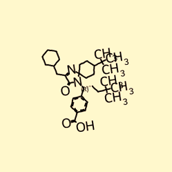 CC(C)(C)CC[C@H](c1ccc(C(=O)O)cc1)N1C(=O)C(CC2CCCCC2)=NC12CCC(C(C)(C)C)CC2